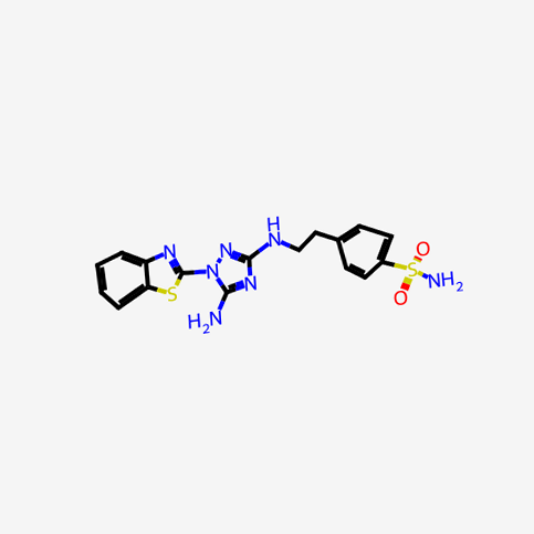 Nc1nc(NCCc2ccc(S(N)(=O)=O)cc2)nn1-c1nc2ccccc2s1